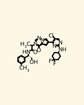 Cc1cccc([C@@H](CO)NC(=O)C(C)n2cnn3cc(-c4nc(NC5CCC(F)(F)CC5)ncc4Cl)cc3c2=O)c1